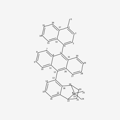 Cc1ccc(-c2c3ccccc3c(-c3cccc4c3C3CCC4[Si]3(C)C)c3ccccc23)c2ccccc12